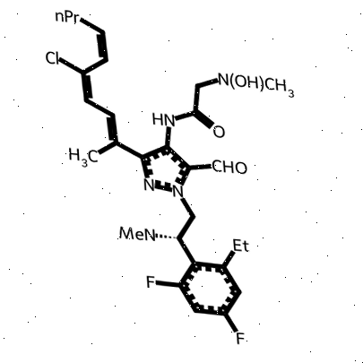 CCC\C=C/C(Cl)=C\C=C(/C)c1nn(C[C@@H](NC)c2c(F)cc(F)cc2CC)c(C=O)c1NC(=O)CN(C)O